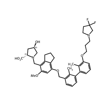 COc1cc(OCc2cccc(-c3cccc(OCCCN4CCC(F)(F)C4)c3C)c2C)c2c(c1CN1C[C@H](O)C[C@H]1C(=O)O)CCC2